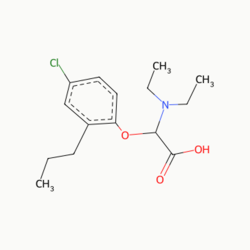 CCCc1cc(Cl)ccc1OC(C(=O)O)N(CC)CC